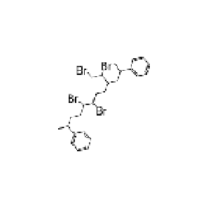 CC(CCC(Br)C(Br)CCC(CC(C)c1ccccc1)C(Br)CBr)c1ccccc1